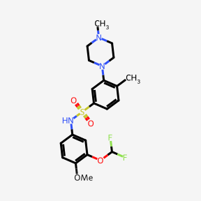 COc1ccc(NS(=O)(=O)c2ccc(C)c(N3CCN(C)CC3)c2)cc1OC(F)F